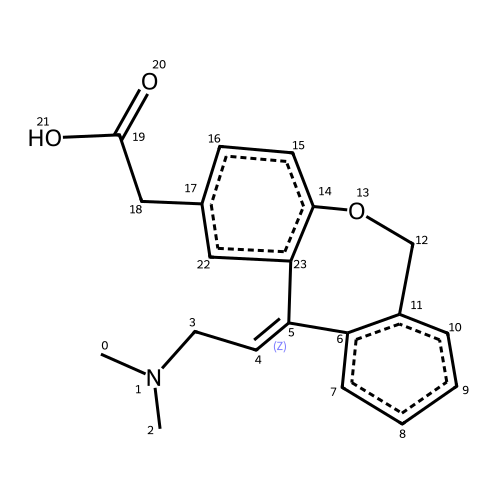 CN(C)C/C=C1/c2ccccc2COc2ccc(CC(=O)O)cc21